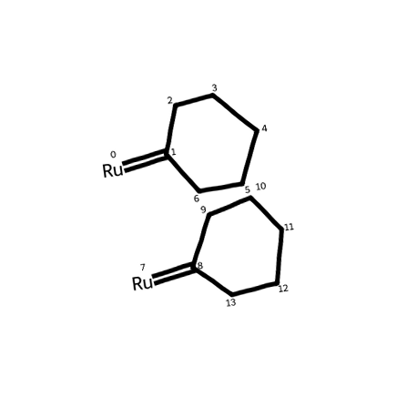 [Ru]=[C]1CCCCC1.[Ru]=[C]1CCCCC1